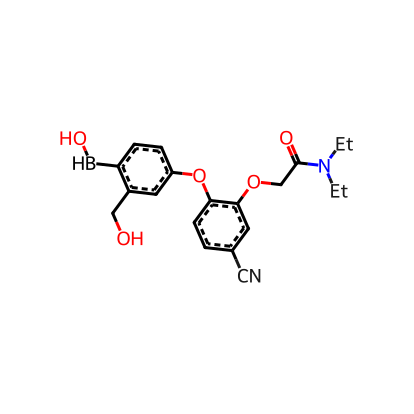 CCN(CC)C(=O)COc1cc(C#N)ccc1Oc1ccc(BO)c(CO)c1